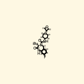 CC[C@H](C)[C@H]1C(=O)Nc2cc(F)ccc2CN1C(=O)NC1CCN(C2COC2)CC1